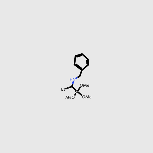 CCC(NCc1ccccc1)[Si](OC)(OC)OC